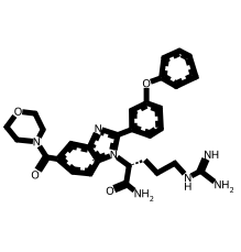 N=C(N)NCCC[C@H](C(N)=O)n1c(-c2cccc(Oc3ccccc3)c2)nc2cc(C(=O)N3CCOCC3)ccc21